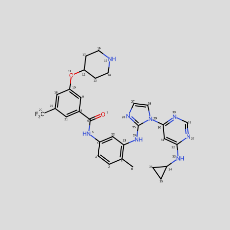 Cc1ccc(NC(=O)c2cc(OC3CCNCC3)cc(C(F)(F)F)c2)cc1Nc1nccn1-c1cc(NC2CC2)ncn1